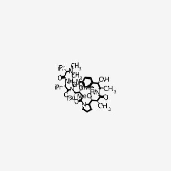 CCC(C)[C@@H]([C@@H](CC(=O)N1CCCC1[C@H](OC)[C@@H](C)C(=O)N[C@H](C)[C@@H](O)c1ccc(N)cc1)OC)N(C)C(=O)[C@@H](NC(=O)[C@H](C(C)C)N(C)C)C(C)C